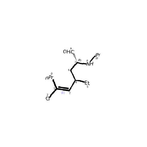 CCC/C(Cl)=C\C(CC)C[C@H](C=O)NC(C)C